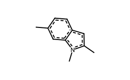 Cc1ccc2cc(C)n(C)c2c1